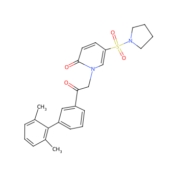 Cc1cccc(C)c1-c1cccc(C(=O)Cn2cc(S(=O)(=O)N3CCCC3)ccc2=O)c1